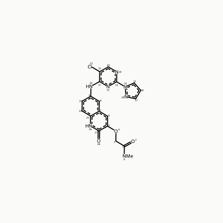 CNC(=O)COc1cc2cc(Nc3nc(-n4cccn4)ncc3Cl)ccc2[nH]c1=O